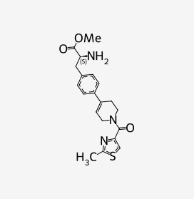 COC(=O)[C@@H](N)Cc1ccc(C2=CCN(C(=O)c3csc(C)n3)CC2)cc1